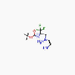 CC(C)(C)OC(=O)NC(CN(N)/C=C\N)C(F)(F)F